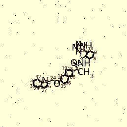 CC(C(=O)NCc1ccccc1-c1nnn[nH]1)c1ccc2cc(OCc3ccc4ccccc4n3)ccc2c1